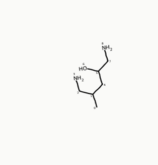 CC(CN)CC(O)CN